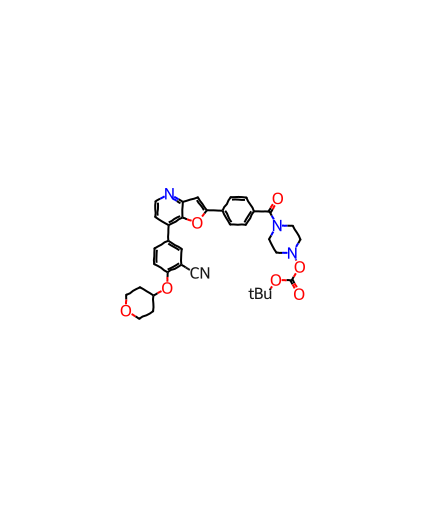 CC(C)(C)OC(=O)ON1CCN(C(=O)c2ccc(-c3cc4nccc(-c5ccc(OC6CCOCC6)c(C#N)c5)c4o3)cc2)CC1